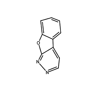 c1ccc2c(c1)oc1nnccc12